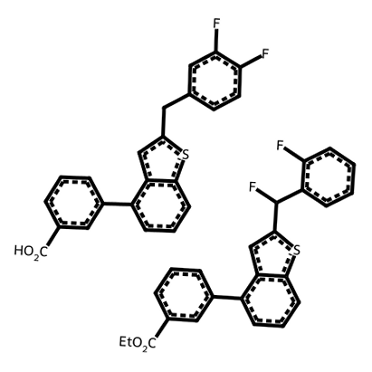 CCOC(=O)c1cccc(-c2cccc3sc(C(F)c4ccccc4F)cc23)c1.O=C(O)c1cccc(-c2cccc3sc(Cc4ccc(F)c(F)c4)cc23)c1